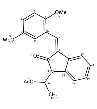 COc1ccc(OC)c(/C=C2\C(=O)N(C(C)OC(C)=O)c3ccccc32)c1